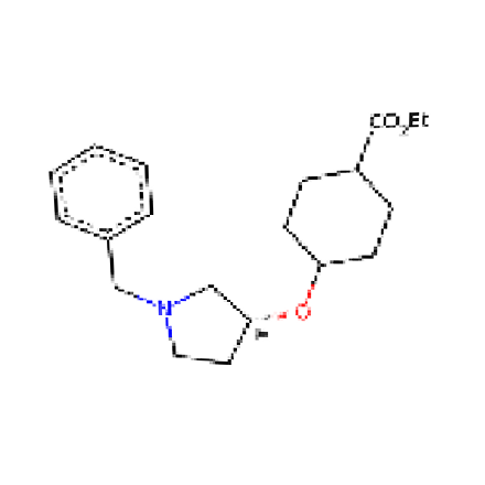 CCOC(=O)C1CCC(O[C@@H]2CCN(Cc3ccccc3)C2)CC1